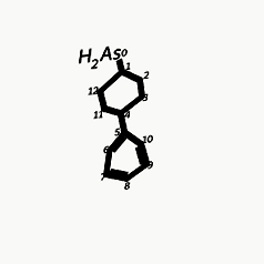 [AsH2]C1CCC(c2ccccc2)CC1